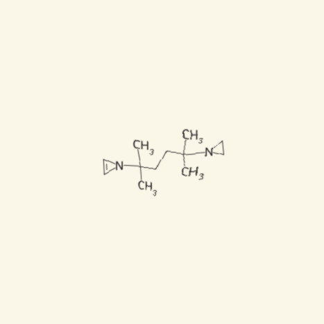 CC(C)(CCC(C)(C)N1CC1)N1C=C1